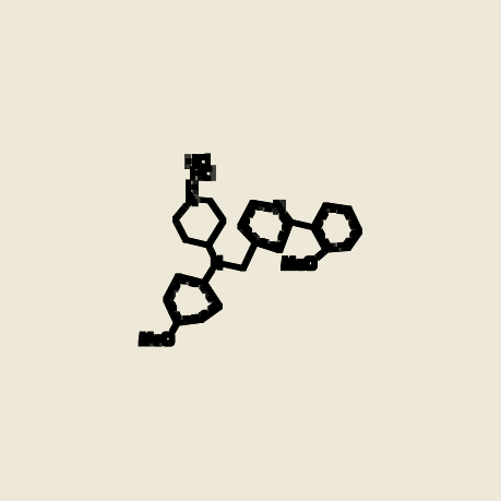 COc1ccc(N(Cc2ccnc(-c3ccccc3OC)c2)C2CCNCC2)cc1.Cl.Cl